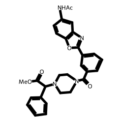 COC(=O)C(c1ccccc1)N1CCN(C(=O)c2cccc(-c3nc4cc(NC(C)=O)ccc4o3)c2)CC1